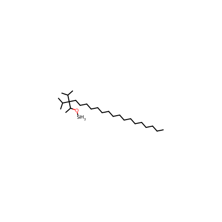 CCCCCCCCCCCCCCCCCC(C(C)C)(C(C)C)C(C)O[SiH3]